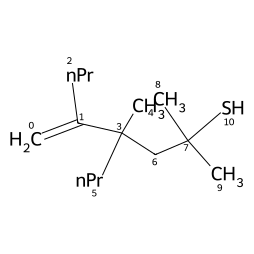 C=C(CCC)C(C)(CCC)CC(C)(C)S